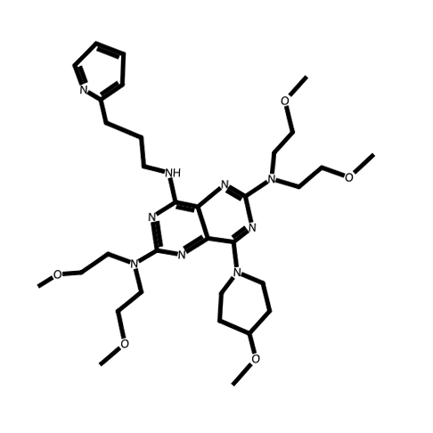 COCCN(CCOC)c1nc(N2CCC(OC)CC2)c2nc(N(CCOC)CCOC)nc(NCCCc3ccccn3)c2n1